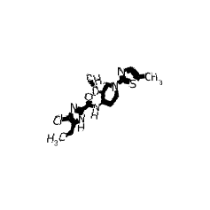 CCc1[nH]c(C(=O)N[C@@H]2CCN(c3ncc(C)s3)C[C@@H]2OC)nc1Cl